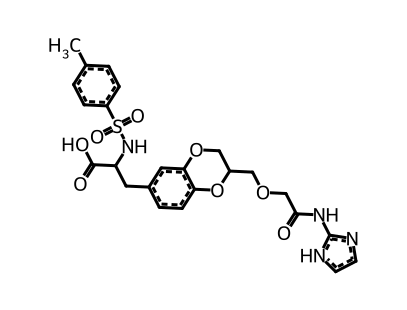 Cc1ccc(S(=O)(=O)NC(Cc2ccc3c(c2)OCC(COCC(=O)Nc2ncc[nH]2)O3)C(=O)O)cc1